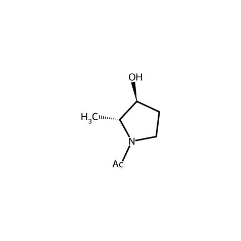 CC(=O)N1CC[C@H](O)[C@H]1C